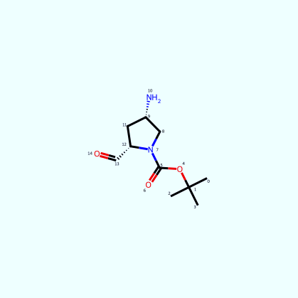 CC(C)(C)OC(=O)N1C[C@@H](N)C[C@H]1C=O